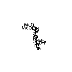 CCCn1cc(OCC(F)F)c(C(=O)Nc2ccc(Oc3ccnc4cc(OC)c(OC)cc34)cn2)n1